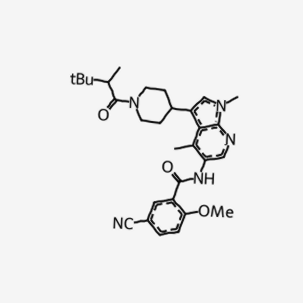 COc1ccc(C#N)cc1C(=O)Nc1cnc2c(c(C3CCN(C(=O)C(C)C(C)(C)C)CC3)cn2C)c1C